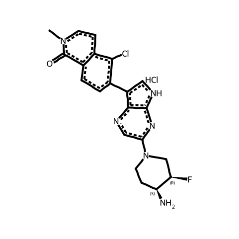 Cl.Cn1ccc2c(Cl)c(-c3c[nH]c4nc(N5CC[C@H](N)[C@H](F)C5)cnc34)ccc2c1=O